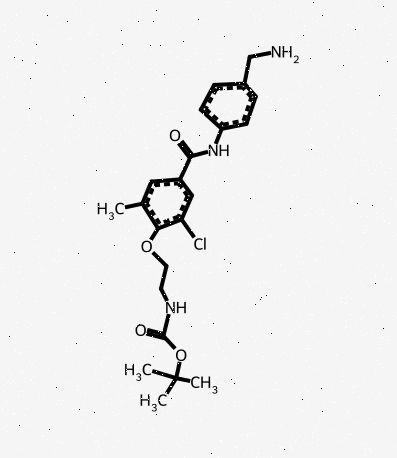 Cc1cc(C(=O)Nc2ccc(CN)cc2)cc(Cl)c1OCCNC(=O)OC(C)(C)C